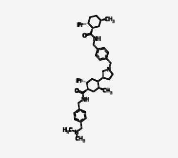 CC(C)[C@@H]1CC[C@@H](C)C[C@H]1C(=O)NCc1ccc(CN2CCC(C3C[C@@H](C(C)C)[C@H](C(=O)NCc4ccc(CN(C)C)cc4)C[C@@H]3C)C2)cc1